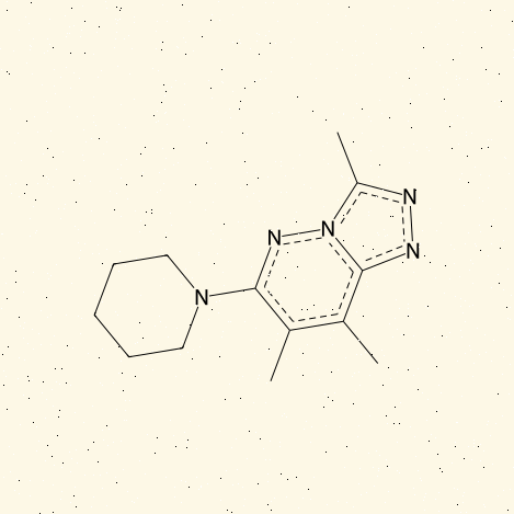 Cc1c(N2CCCCC2)nn2c(C)nnc2c1C